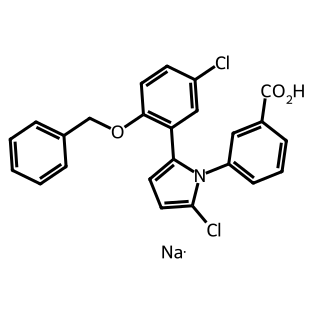 O=C(O)c1cccc(-n2c(Cl)ccc2-c2cc(Cl)ccc2OCc2ccccc2)c1.[Na]